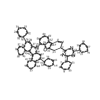 C1=CC(c2nc(-c3ccccc3)nc(-c3ccccc3)n2)Cc2oc3c(-n4c5cc(-c6ccccc6)c6ccccc6c5c5c6ccccc6c(-c6ccccc6)cc54)cccc3c21